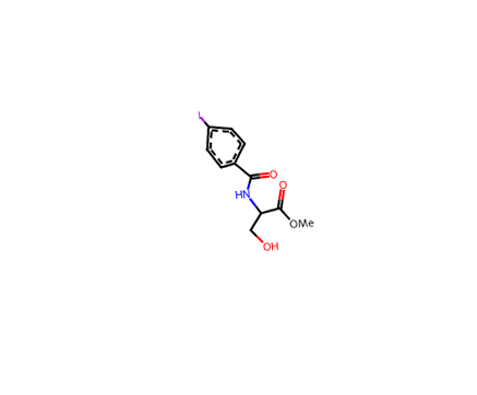 COC(=O)C(CO)NC(=O)c1ccc(I)cc1